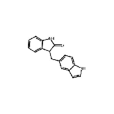 O=C1Nc2ccccc2C1Cc1ccc2[nH]ccc2c1